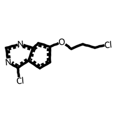 ClCCCOc1ccc2c(Cl)ncnc2c1